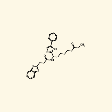 CCC(=O)CCCCC[C@H](NC(=O)CCc1nc2ccccc2s1)c1ncc(-c2ccccc2)[nH]1